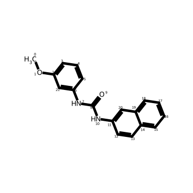 COc1cccc(NC(=O)Nc2ccc3ccccc3c2)c1